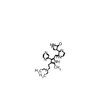 CCN(CC)CCc1c(C)[nH]c(C=C2NC=CN=C2C2C=NNC2=O)c1-c1cnccn1